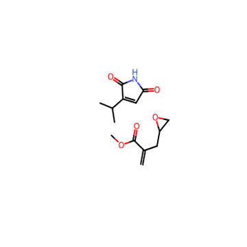 C=C(CC1CO1)C(=O)OC.CC(C)C1=CC(=O)NC1=O